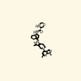 Cc1cc(N2CCc3c(c(C)nn3CC34CCCC(C3)C(NC(=O)[C@@H]3COCCN3)CC4)C2)c2cnn(C)c2n1